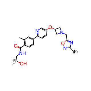 Cc1cc(-c2ccc(OC3CN(Cc4nc(C(C)C)no4)C3)cn2)ccc1C(=O)NC[C@@H](C)O